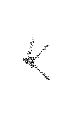 CCCCCCCCCCCCCCCC(=O)NC(CSC(C)(COC(=O)CCCCCCCCCCCCCCC)OC(=O)CCCCCCCCCCCCCCC)C(=O)O